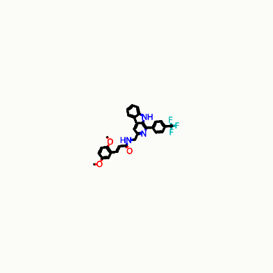 COc1ccc(OC)c(/C=C/C(=O)NCc2cc3c([nH]c4ccccc43)c(-c3ccc(C(F)(F)F)cc3)n2)c1